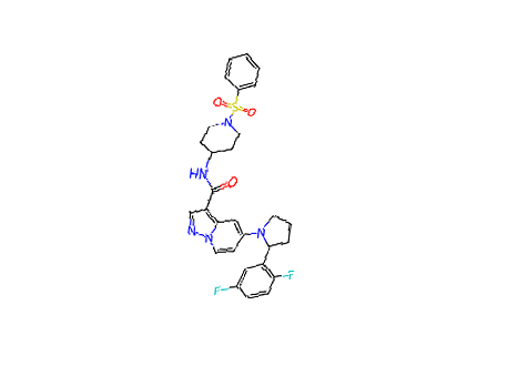 O=C(NC1CCN(S(=O)(=O)c2ccccc2)CC1)c1cnn2ccc(N3CCCC3c3cc(F)ccc3F)cc12